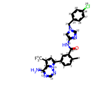 Cc1ccc(-c2cc(C(F)(F)F)c3c(N)ncnn23)cc1C(=O)Nc1cn(Cc2ccc(Cl)cc2)cn1